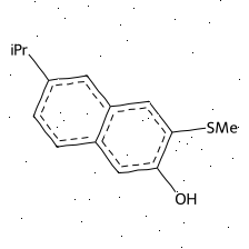 CSc1cc2cc(C(C)C)ccc2cc1O